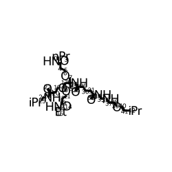 CCCNC(=O)CCOCC(COCCC(=O)NCC)(COCCC(=O)NCC(C)C)NC(=O)CCCC(=O)NCNCCO/C=C/C(C)C